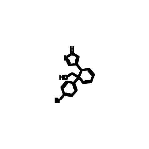 OCC1(c2ccc(Br)cc2)C=CC=CC1c1cn[nH]c1